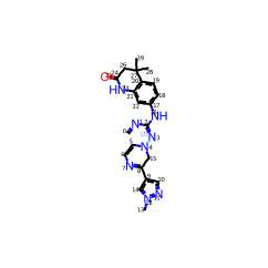 C=N/C(=N\N1C=CN=C(c2cnn(C)c2)C1)Nc1ccc2c(c1)NC(=O)CC2(C)C